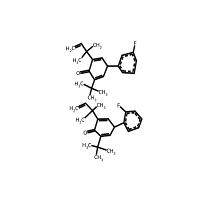 C=CC(C)(C)C1=CC(c2cccc(F)c2)C=C(C(C)(C)C)C1=O.C=CC(C)(C)C1=CC(c2ccccc2F)C=C(C(C)(C)C)C1=O